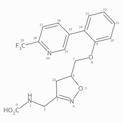 O=C(O)NCC1=NOC(COc2ccccc2-c2ccc(C(F)(F)F)nc2)C1